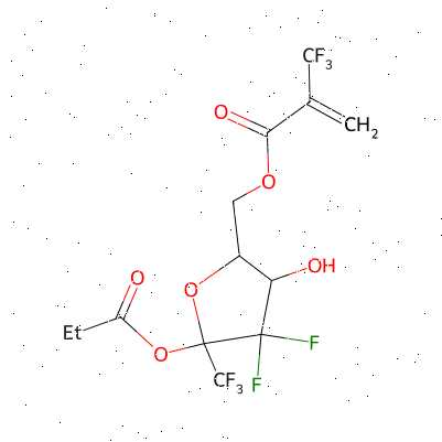 C=C(C(=O)OCC1OC(OC(=O)CC)(C(F)(F)F)C(F)(F)C1O)C(F)(F)F